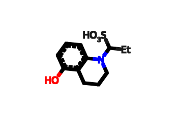 CCC(N1CCCc2c(O)cccc21)S(=O)(=O)O